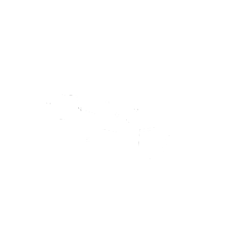 CCC(OS(=O)(=O)c1ccc(C)cc1)C(=O)N1CCOCC1